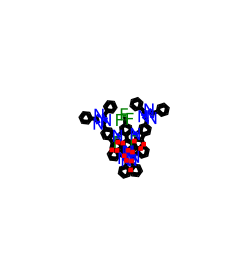 Fc1cccc(F)c1-c1c(-n2c3cc(-c4nc(-c5ccccc5)nc(-c5ccccc5)n4)ccc3c3ccc(-c4nc(-c5ccccc5)nc(-c5ccccc5)n4)cc32)cc(C(F)(F)F)cc1-n1c2cc(-c3nc(-c4ccccc4)nc(-c4ccccc4)n3)ccc2c2ccc(-c3nc(-c4ccccc4)nc(-c4ccccc4)n3)cc21